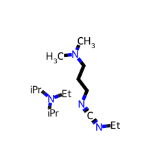 CCN(C(C)C)C(C)C.CCN=C=NCCCN(C)C